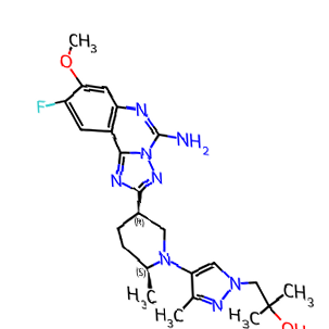 COc1cc2nc(N)n3nc([C@@H]4CC[C@H](C)N(c5cn(CC(C)(C)O)nc5C)C4)nc3c2cc1F